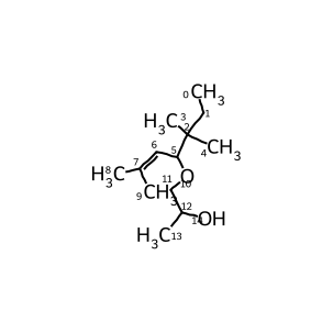 CCC(C)(C)C(C=C(C)C)OCC(C)O